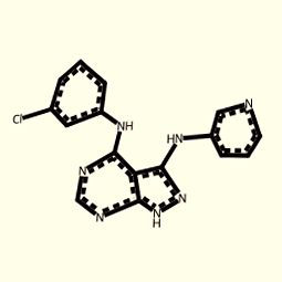 Clc1cccc(Nc2ncnc3[nH]nc(Nc4cccnc4)c23)c1